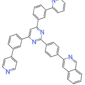 c1ccc(-c2cccc(-c3cc(-c4cccc(-c5ccncc5)c4)nc(-c4ccc(-c5cc6ccccc6cn5)cc4)n3)c2)nc1